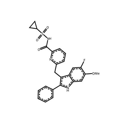 COc1cc2[nH]c(-c3ccccc3)c(Cc3cccc(C(=O)NS(=O)(=O)C4CC4)n3)c2cc1F